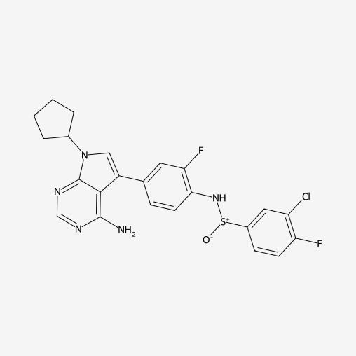 Nc1ncnc2c1c(-c1ccc(N[S+]([O-])c3ccc(F)c(Cl)c3)c(F)c1)cn2C1CCCC1